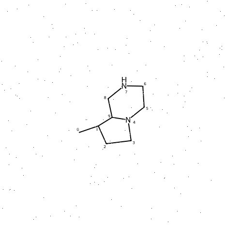 CC1CCN2CCNCC12